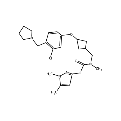 Cc1cc(OC(=O)N(C)CC2CC(Oc3ccc(CN4CCCC4)c(Cl)c3)C2)nn1C